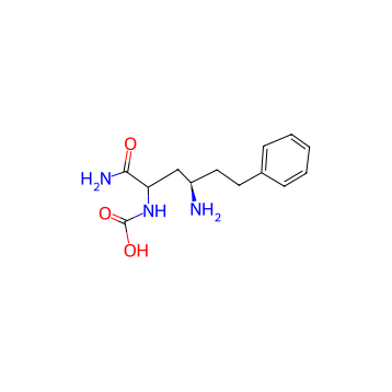 NC(=O)C(C[C@H](N)CCc1ccccc1)NC(=O)O